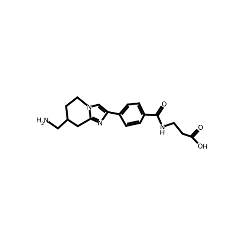 NCC1CCn2cc(-c3ccc(C(=O)NCCC(=O)O)cc3)nc2C1